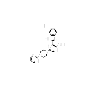 Cc1ccc2nc(-c3nc(N4CCN(c5ncccn5)CC4)cnc3N)[nH]c2c1